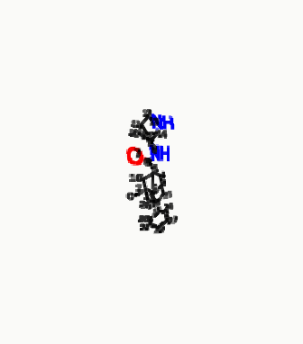 C[C@]12CC3CC(C(=O)NC4CC5CNC4C5)(C1)C[C@@](c1ccccc1)(C3)C2